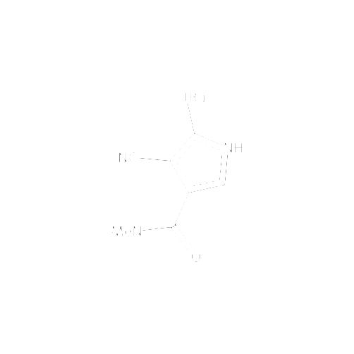 CNC(=O)c1c[nH]c(C(C)(C)C)c1C#N